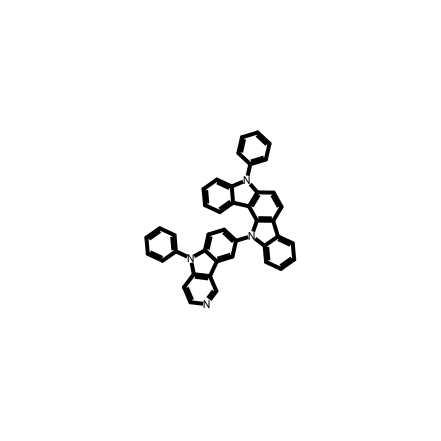 c1ccc(-n2c3ccncc3c3cc(-n4c5ccccc5c5ccc6c(c7ccccc7n6-c6ccccc6)c54)ccc32)cc1